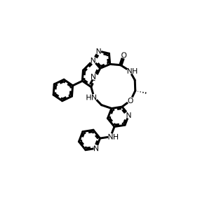 C[C@H]1CNC(=O)c2cnn3cc(-c4ccccc4)c(nc23)NCc2cc(Nc3ccccn3)cnc2O1